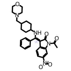 CC(=O)N1C(=O)/C(=C(\NC2CCC(CN3CCOCC3)CC2)c2ccccc2)c2ccc([N+](=O)[O-])cc21